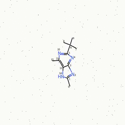 Cc1nc2nc(C(C)(C)C)nc(C)c2[nH]1